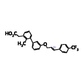 Cc1c(CC(=O)O)cccc1-c1cccc(OC/C=C/c2ccc(C(F)(F)F)cc2)c1